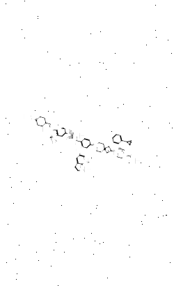 CC(=O)N1CCN(C2CC3(CCN(c4ccc(C(=O)NS(=O)(=O)c5cnc(NCC6CCC(C)(O)CC6)c([N+](=O)[O-])c5)c(Oc5cnc6[nH]ccc6c5)c4)CC3)C2)[C@H](c2ccccc2C2CC2)C1